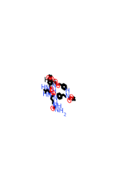 CC(C)[C@@H](NC(=O)[C@H]1C[C@@H]2OC(C)(C)O[C@@H]2[C@@H]1NC(=O)OCc1ccccc1)C(=O)NC(CCCNC(N)=O)C(=O)Nc1ccc(CCNC(=O)OC(C)(C)C)cc1